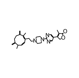 C=C1CCC(=C)C(C)/C=C\C(CCN2CCN(c3ncc(C4=C(C)C(=O)OC4)cn3)CC2)=C/1C